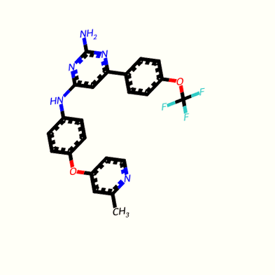 Cc1cc(Oc2ccc(Nc3cc(-c4ccc(OC(F)(F)F)cc4)nc(N)n3)cc2)ccn1